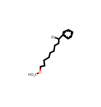 CCC(CCCCCCCCOC(=O)O)c1ccccc1